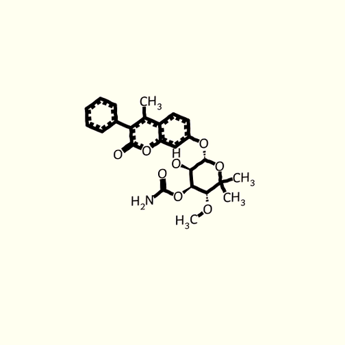 CO[C@@H]1[C@@H](OC(N)=O)[C@@H](O)[C@H](Oc2ccc3c(C)c(-c4ccccc4)c(=O)oc3c2)OC1(C)C